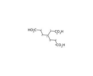 O=C(O)CCC(CCC(=O)O)CC(=O)O